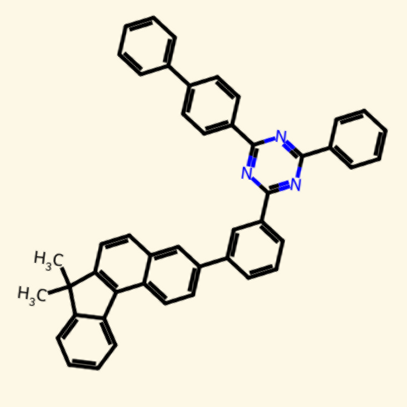 CC1(C)c2ccccc2-c2c1ccc1cc(-c3cccc(-c4nc(-c5ccccc5)nc(-c5ccc(-c6ccccc6)cc5)n4)c3)ccc21